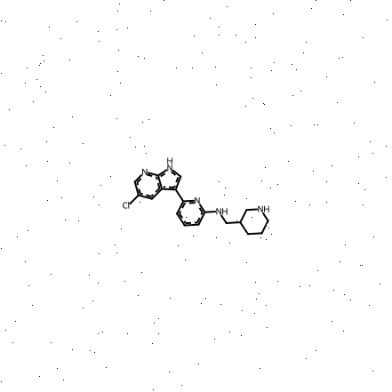 Clc1cnc2[nH]cc(-c3cccc(NCC4CCCNC4)n3)c2c1